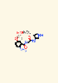 Nc1ccc(OC(F)(F)F)cc1C(=O)NCC(=O)NC1CCNC1.O=[N+]([O-])O